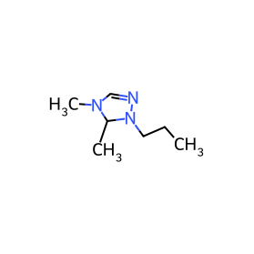 CCCN1N=CN(C)C1C